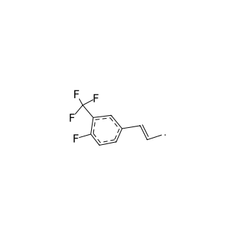 [CH2]C=Cc1ccc(F)c(C(F)(F)F)c1